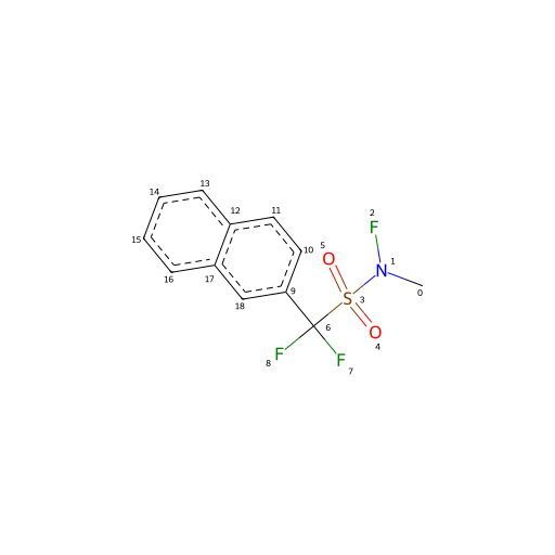 CN(F)S(=O)(=O)C(F)(F)c1ccc2ccccc2c1